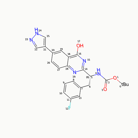 CC(C)(C)OC(=O)N[C@H](Cc1cccc(F)c1)c1nc(O)c2cc(-c3cn[nH]c3)ccc2n1